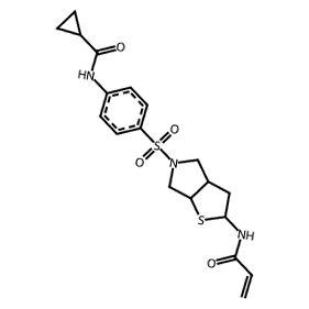 C=CC(=O)NC1CC2CN(S(=O)(=O)c3ccc(NC(=O)C4CC4)cc3)CC2S1